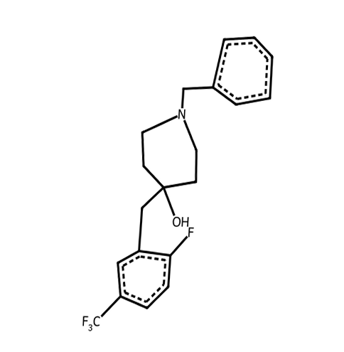 OC1(Cc2cc(C(F)(F)F)ccc2F)CCN(Cc2ccccc2)CC1